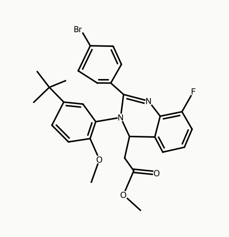 COC(=O)CC1c2cccc(F)c2N=C(c2ccc(Br)cc2)N1c1cc(C(C)(C)C)ccc1OC